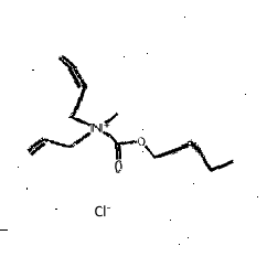 C=CC[N+](C)(CC=C)C(=O)OCCCC.[Cl-]